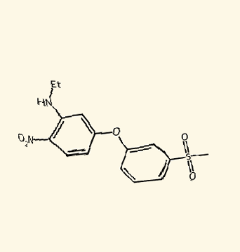 CCNc1cc(Oc2cccc(S(C)(=O)=O)c2)ccc1[N+](=O)[O-]